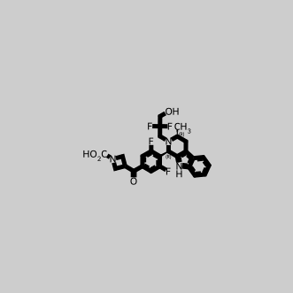 C[C@@H]1Cc2c([nH]c3ccccc23)[C@@H](c2c(F)cc(C(=O)C3CN(C(=O)O)C3)cc2F)N1CC(F)(F)CO